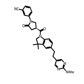 CNc1ncc(CCc2ccc3c(c2)C(C)(C)CN3C(=O)[C@H]2CC(=O)N(c3cccc(C#N)c3)C2)cn1